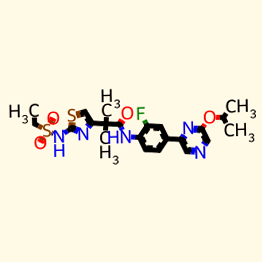 CCS(=O)(=O)Nc1nc(C(C)(C)C(=O)Nc2ccc(-c3cncc(OC(C)C)n3)cc2F)cs1